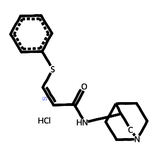 Cl.O=C(/C=C\Sc1ccccc1)NC1CN2CCC1CC2